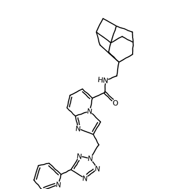 O=C(NCC12CC3CC4CC(C1)C4(C3)C2)c1cccc2nc(Cn3nnc(-c4ccccn4)n3)cn12